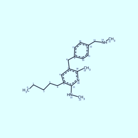 CCCCCc1cc(Cc2ccc(CNC)cc2)c(C)nc1NC